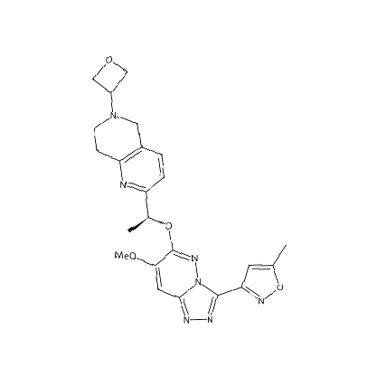 COc1cc2nnc(-c3cc(C)on3)n2nc1O[C@@H](C)c1ccc2c(n1)CCN(C1COC1)C2